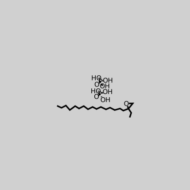 CCCCCCCCCCCCCCCCC1(CC)CO1.O=P(O)(O)O.O=P(O)(O)O